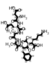 CC(C)N(C(=O)[C@H](Cc1ccccc1)NC(=O)[C@H](C)NC(=O)[C@H](C)NC(=O)[C@H](CCC(=O)O)NC(=O)[C@@H](N)CC(=O)O)[C@@H](CCCCN)C(=O)O